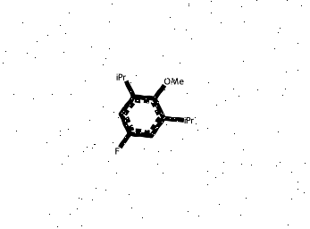 COc1c(C(C)C)cc(F)cc1C(C)C